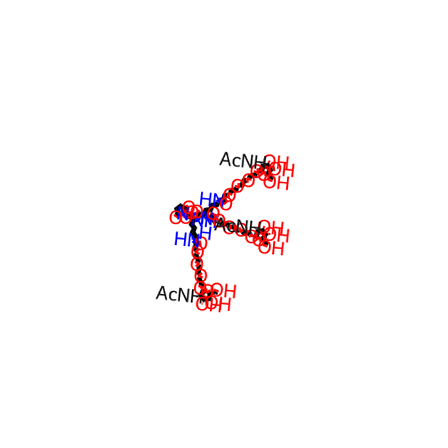 CC(=O)N[C@H]1[C@H](OCCOCCOCCOCC(=O)NCCCCC(NC(=O)C(CCCCNC(=O)COCCOCCOCCOC2O[C@H](CO)C(O)[C@H](O)[C@H]2NC(C)=O)NC(=O)COCCOCCOCCO[C@@H]2O[C@H](CO)[C@H](O)[C@H](O)[C@H]2NC(C)=O)C(=O)ON2C(=O)CCC2=O)O[C@H](CO)[C@H](O)[C@@H]1O